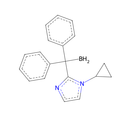 BC(c1ccccc1)(c1ccccc1)c1nccn1C1CC1